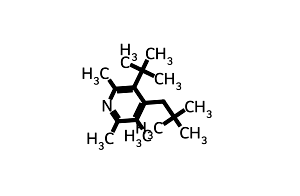 Cc1nc(C)c(C(C)(C)C)c(CC(C)(C)C)c1C